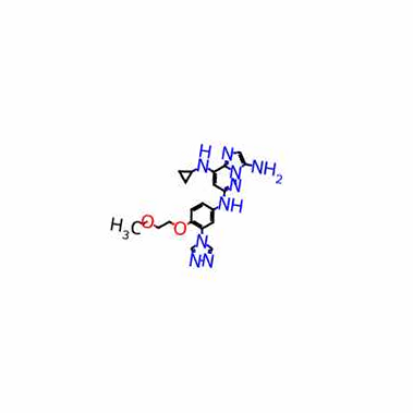 COCCOc1ccc(Nc2cc(NC3CC3)c3ncc(N)n3n2)cc1-n1cnnc1